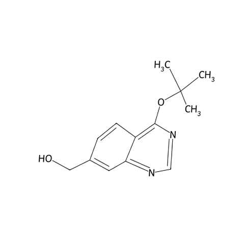 CC(C)(C)Oc1ncnc2cc(CO)ccc12